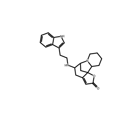 O=C1C=C2CC(NCCc3c[nH]c4ccccc34)C3CC2(O1)C1CCCCN31